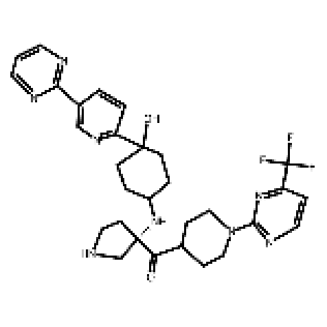 O=C(C1CCN(c2nccc(C(F)(F)F)n2)CC1)[C@]1(NC2CCC(O)(c3ccc(-c4ncccn4)cn3)CC2)CCNC1